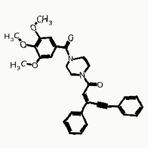 COc1cc(C(=O)N2CCN(C(=O)C=C(C#Cc3ccccc3)c3ccccc3)CC2)cc(OC)c1OC